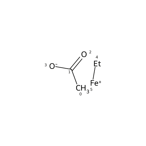 CC(=O)[O-].C[CH2][Fe+]